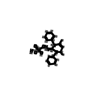 CC1=CC(C)N(c2ccccc2)C(=S)N1c1ccccc1.O=S(=O)([O-])O.[H+]